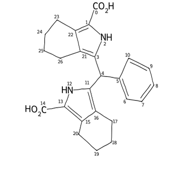 O=C(O)c1[nH]c(C(c2ccccc2)c2[nH]c(C(=O)O)c3c2CCCC3)c2c1CCCC2